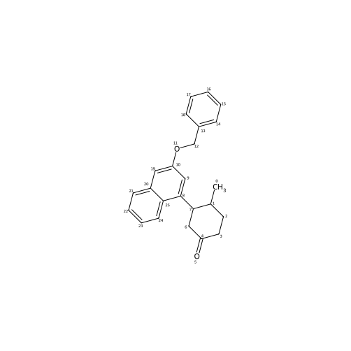 CC1CCC(=O)CC1c1cc(OCc2ccccc2)cc2ccccc12